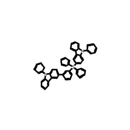 C1=CCCC(n2c3ccccc3c3cc(-c4cccc(S(c5ccccc5)(c5ccccc5)c5ccc6c(c5)c5ccccc5n6-c5ccccc5)c4)ccc32)=C1